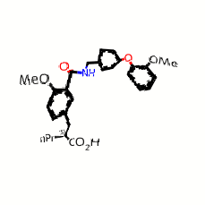 CCC[C@@H](Cc1ccc(OC)c(C(=O)NCc2ccc(Oc3ccccc3OC)cc2)c1)C(=O)O